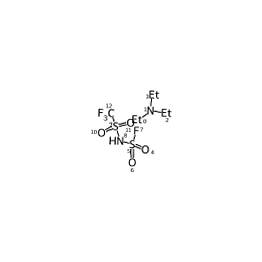 CCN(CC)CC.O=S(=O)(F)NS(=O)(=O)C(F)(F)F